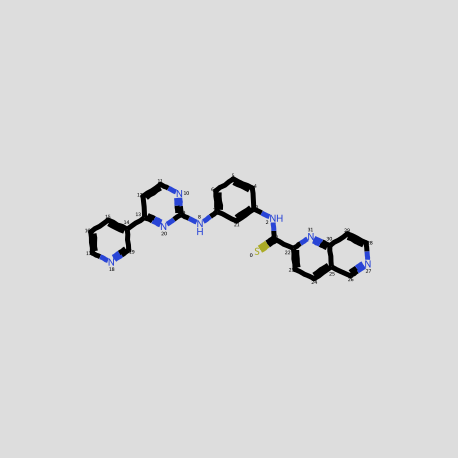 S=C(Nc1cccc(Nc2nccc(-c3cccnc3)n2)c1)c1ccc2cnccc2n1